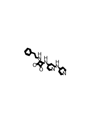 O=c1c(NCCc2ccccc2)c(Nc2ccnc(Nc3ccncc3)c2)c1=O